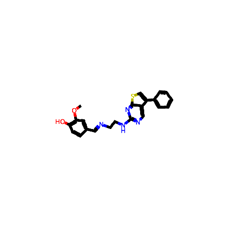 COc1cc(C=NCCNc2ncc3c(-c4ccccc4)csc3n2)ccc1O